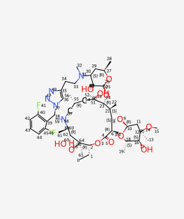 CC[C@H]1OC(=O)[C@H](C)[C@@H](O[C@H]2C[C@@](C)(OC)[C@@H](O)[C@H](C)O2)[C@H](C)[C@@H](O[C@@H]2O[C@H](C)C[C@H](N(C)CCc3cn(Cc4c(F)cccc4F)nn3)[C@H]2O)[C@](C)(O)C[C@@H](C)CN(C)[C@H](C)[C@@H](O)[C@]1(C)O